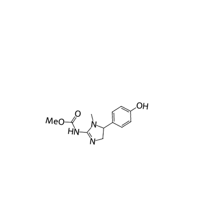 COC(=O)NC1=NCC(c2ccc(O)cc2)N1C